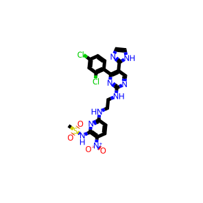 CS(=O)(=O)Nc1nc(NCCNc2ncc(-c3ncc[nH]3)c(-c3ccc(Cl)cc3Cl)n2)ccc1[N+](=O)[O-]